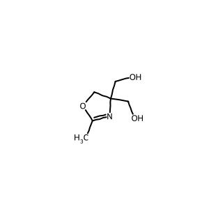 CC1=NC(CO)(CO)CO1